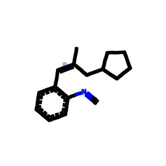 C=Nc1ccccc1/C=C(/C)CC1CCCC1